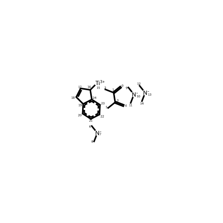 C=C(C)C(=C)C.C[N-]C.C[N-]C.C[N-]C.[Ti+3][CH]1C=Cc2ccccc21